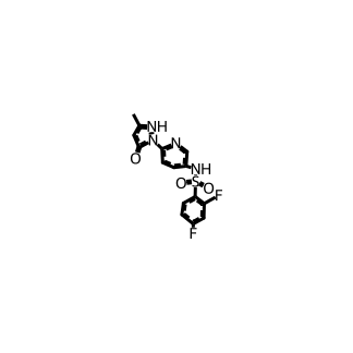 Cc1cc(=O)n(-c2ccc(NS(=O)(=O)c3ccc(F)cc3F)cn2)[nH]1